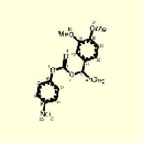 CCCCCCCCCCC(OC(=O)Oc1ccc([N+](=O)[O-])cc1)c1ccc(OC)c(OC)c1